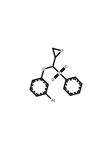 CC(=O)c1cccc(OC(C2CO2)S(=O)(=O)c2ccccc2)c1